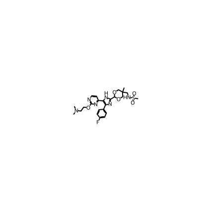 CN(C)CCOc1nccc(-c2[nH]c(C3OCC(C)(CNS(C)(=O)=O)CO3)nc2-c2ccc(F)cc2)n1